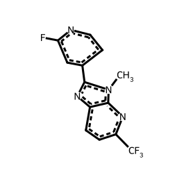 Cn1c(-c2ccnc(F)c2)nc2ccc(C(F)(F)F)nc21